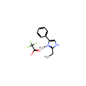 CCc1[nH]cc(-c2ccccc2)[n+]1C.O=C([O-])C(F)(F)F